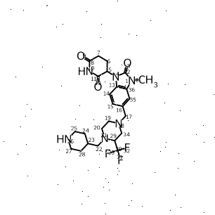 Cn1c(=O)n(C2CCC(=O)NC2=O)c2ccc(CN3CCN(CC4CCNCC4)C(C(F)(F)F)C3)cc21